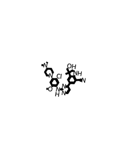 COc1cc(N2CCC(N(C)C)CC2)c(Cl)cc1Nc1nccc(-c2cc(C#N)c3c(c2)C(C)(CO)CN3)n1